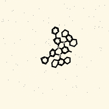 Cc1cc2c3c(c1)N(c1c4c(cc5c1CCCC5)CCCC4)c1cc(-c4ccccc4)ccc1B3c1ccc(-c3ccccc3)cc1N2c1c2c(cc3c1CCCC3)CCCC2